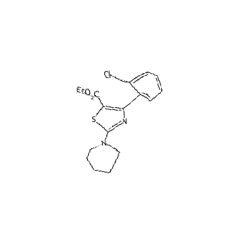 CCOC(=O)c1sc(N2CCCCC2)nc1-c1ccccc1Cl